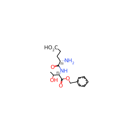 CC(O)[C@H](NC(=O)[C@@H](N)CCC(=O)O)C(=O)OCc1ccccc1